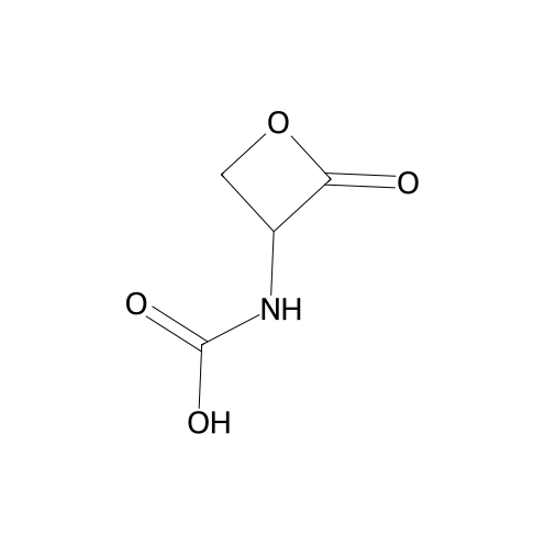 O=C(O)NC1COC1=O